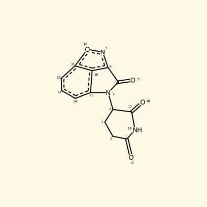 O=C1CCC(N2C(=O)c3noc4cccc2c34)C(=O)N1